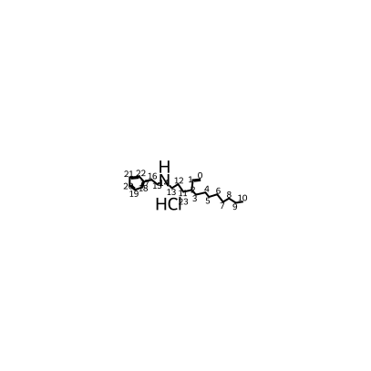 C=CC(CCCCCCCC)CCCNCCc1ccccc1.Cl